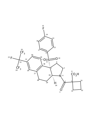 O=C(O)C1(C(=O)N2CC[C@]3(S(=O)(=O)c4ccc(F)cc4)c4ccc(C(F)(C(F)(F)F)C(F)(F)F)cc4CC[C@H]23)CCC1